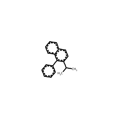 CC(C)c1ccc2ccccc2c1-c1ccccc1